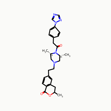 CC1Cc2cc(CCN3C[C@@H](C)N(C(=O)Cc4ccc(-n5cncn5)cc4)[C@@H](C)C3)ccc2C(=O)O1